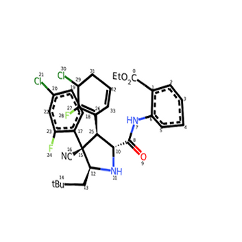 CCOC(=O)c1ccccc1NC(=O)[C@@H]1N[C@@H](CC(C)(C)C)[C@](C#N)(c2ccc(Cl)cc2F)[C@H]1C1=C(F)C(Cl)CC=C1